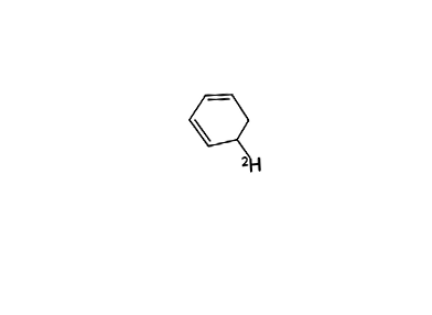 [2H]C1C=CC=CC1